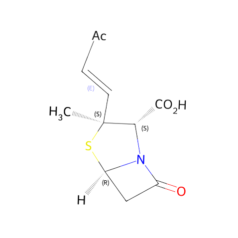 CC(=O)/C=C/[C@]1(C)S[C@@H]2CC(=O)N2[C@H]1C(=O)O